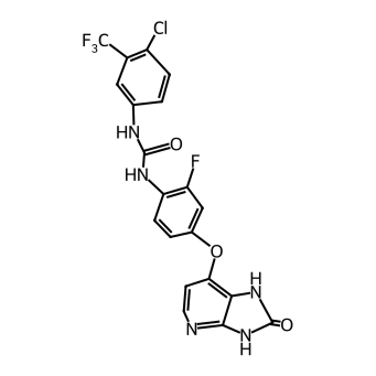 O=C(Nc1ccc(Cl)c(C(F)(F)F)c1)Nc1ccc(Oc2ccnc3[nH]c(=O)[nH]c23)cc1F